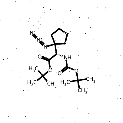 CC(C)(C)OC(=O)N[C@H](C(=O)OC(C)(C)C)C1(N=[N+]=[N-])CCCC1